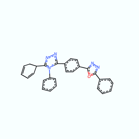 C1=CCC(c2nnc(-c3ccc(-c4nnc(-c5ccccc5)o4)cc3)n2-c2ccccc2)C=C1